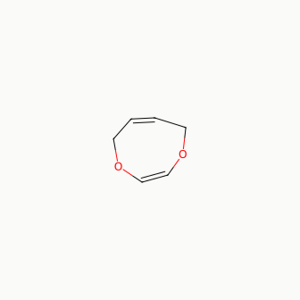 C1=C\CO/C=C\OC/1